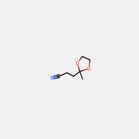 CC1(CCC#N)OCCO1